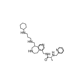 C[C@H](NCc1ccccn1)C(=O)NCc1cncc2c1CCNCC2CNCCCNC1CCCCC1